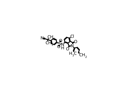 C=C/C=C\C(=C/C)N1C(=O)c2c(Cl)ccc(NS(=O)(=O)c3ccc(C(C)(C)C#N)cc3)c2C1=O